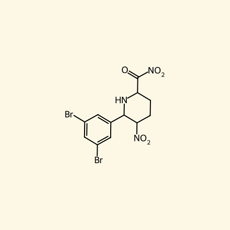 O=C(C1CCC([N+](=O)[O-])C(c2cc(Br)cc(Br)c2)N1)[N+](=O)[O-]